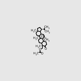 C=C(C)[C@@H]1CC[C@]2(C)CC[C@]3(C)C(CCC4[C@@]5(C)CCC(=O)[C@@](C)(COC(C)=O)C5CC[C@]43C)C12